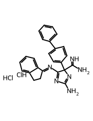 Cl.Cl.N=C(N)C1(c2ccc(-c3ccccc3)cc2)N=C(N)N=C1N=C1CCc2ccccc21